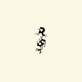 O=C(O[C@@H]1CO[C@H]2[C@@H]1OC[C@@H]2O[N+](=O)[O-])c1cccnc1S